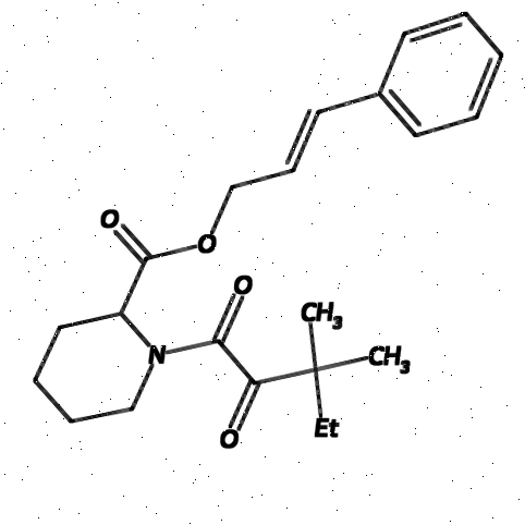 CCC(C)(C)C(=O)C(=O)N1CCCCC1C(=O)OC/C=C/c1ccccc1